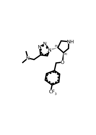 CN(C)Cc1cn([C@@H]2CNC[C@H]2OCc2ccc(C(F)(F)F)cc2)nn1